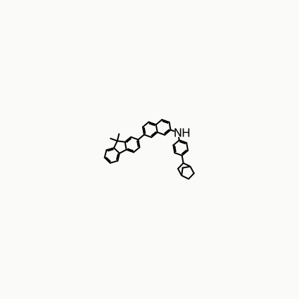 CC1(C)c2ccccc2-c2ccc(-c3ccc4ccc(Nc5ccc(C6CC7CCC6C7)cc5)cc4c3)cc21